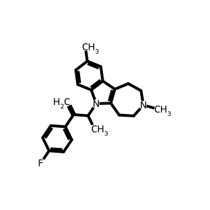 C=C(c1ccc(F)cc1)C(C)n1c2c(c3cc(C)ccc31)CCN(C)CC2